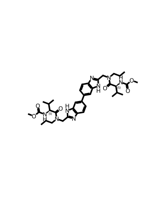 CCCN(Cc1nc2ccc(-c3ccc4nc(CN(CCC)C(=O)[C@@H](NC(=O)OC)C(C)C)[nH]c4c3)cc2[nH]1)C(=O)[C@@H](NC(=O)OC)C(C)C